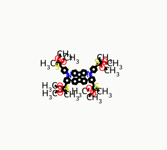 CCOc1c(C)sc(-c2ccc(N(c3ccc(-c4sc(C)c(OCC)c4OCC)cc3)c3ccc4c(c3)C3(c5ccccc5-c5ccccc53)c3cc(N(c5ccc(-c6sc(C)c(OCC)c6OCC)cc5)c5ccc(-c6sc(C)c(OCC)c6OCC)cc5)ccc3-4)cc2)c1OCC